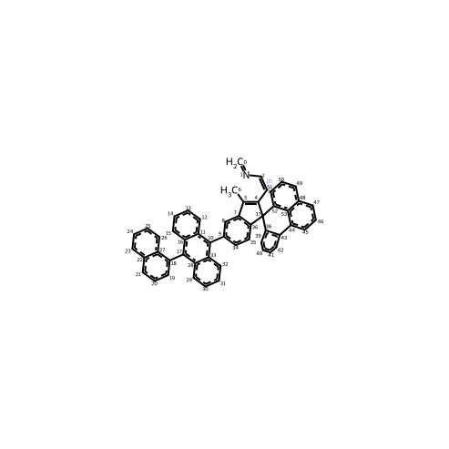 C=N/C=C\C1=C(C)c2cc(-c3c4ccccc4c(-c4cccc5ccccc45)c4ccccc34)ccc2C12c1ccccc1-c1cccc3cccc2c13